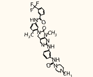 Cc1ccc(NC(=O)c2cccc(C(F)(F)F)c2)cc1N1Cc2cnc(Nc3cccc(NC(=O)N4CCN(C)CC4)c3)nc2N(C)C1=O